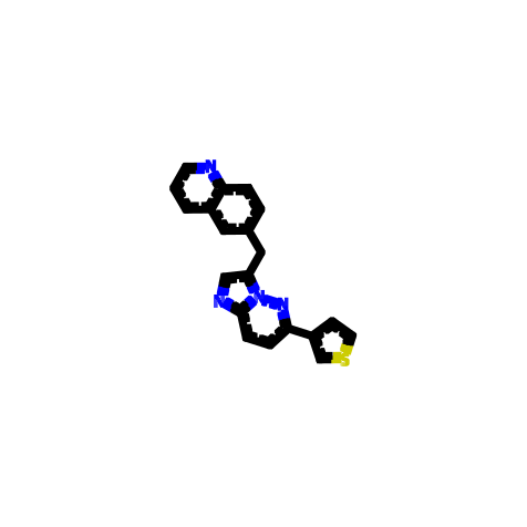 c1cnc2ccc(Cc3cnc4ccc(-c5ccsc5)nn34)cc2c1